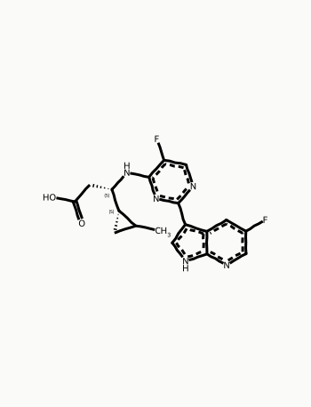 CC1C[C@@H]1[C@H](CC(=O)O)Nc1nc(-c2c[nH]c3ncc(F)cc23)ncc1F